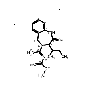 CCC(C)C1C(=O)Nc2ccccc2CN1C(N)=NC(=O)OC